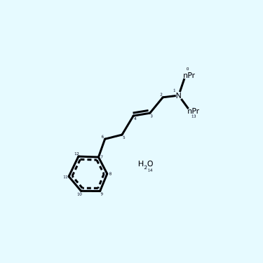 CCCN(CC=CCCc1ccccc1)CCC.O